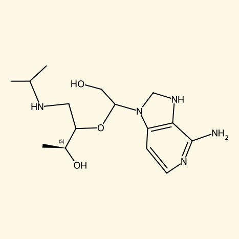 CC(C)NCC(OC(CO)N1CNc2c1ccnc2N)[C@H](C)O